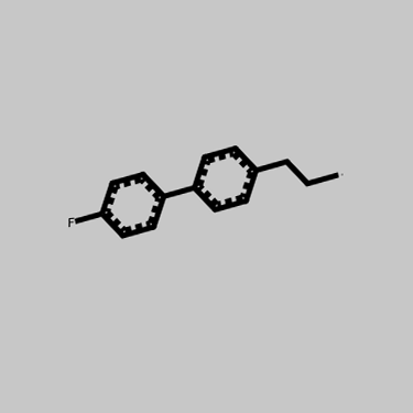 [CH2]CCc1ccc(-c2ccc(F)cc2)cc1